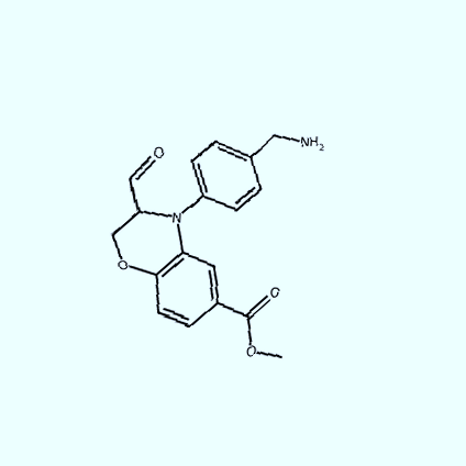 COC(=O)c1ccc2c(c1)N(c1ccc(CN)cc1)C(C=O)CO2